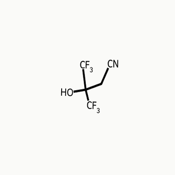 N#CCC(O)(C(F)(F)F)C(F)(F)F